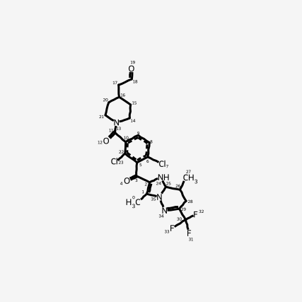 CC1=C(C(=O)c2c(Cl)ccc(C(=O)N3CCC(CC=O)CC3)c2Cl)NC2C(C)CC(C(F)(F)F)=NN12